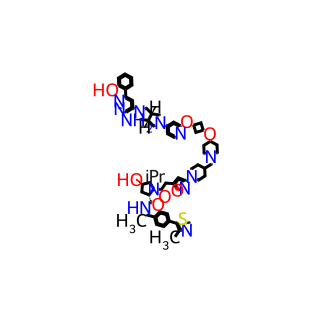 Cc1ncsc1-c1ccc([C@H](C)NC(=O)[C@@H]2C[C@@H](O)CN2C(=O)[C@@H](c2cc(N3CCC(CN4CCC(OC5CC(Oc6cc(N7C[C@@H]8CN(c9cc(-c%10ccccc%10O)nnc9N)C[C@@H]8C7)ccn6)C5)CC4)CC3)no2)C(C)C)cc1